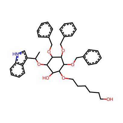 CC(OC1C(O)C(OCCCCCCO)C(OCc2ccccc2)C(OCc2ccccc2)C1OCc1ccccc1)c1c[nH]c2ccccc12